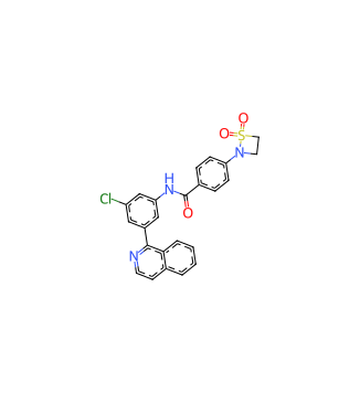 O=C(Nc1cc(Cl)cc(-c2nccc3ccccc23)c1)c1ccc(N2CCS2(=O)=O)cc1